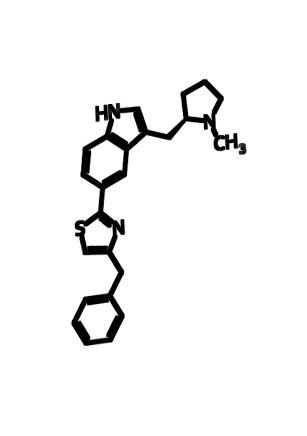 CN1CCC[C@@H]1Cc1c[nH]c2ccc(-c3nc(Cc4ccccc4)cs3)cc12